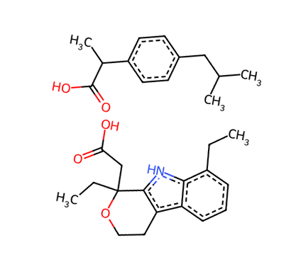 CC(C)Cc1ccc(C(C)C(=O)O)cc1.CCc1cccc2c3c([nH]c12)C(CC)(CC(=O)O)OCC3